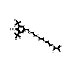 C=C(C)C(=O)OCCOCCOCCOCc1cc(C(C)(C)C)c(O)c(C(C)(C)C)c1